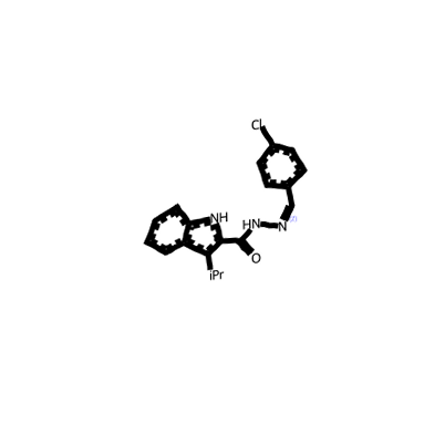 CC(C)c1c(C(=O)N/N=C\c2ccc(Cl)cc2)[nH]c2ccccc12